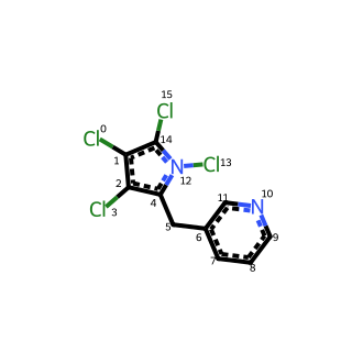 Clc1c(Cl)c(Cc2cccnc2)n(Cl)c1Cl